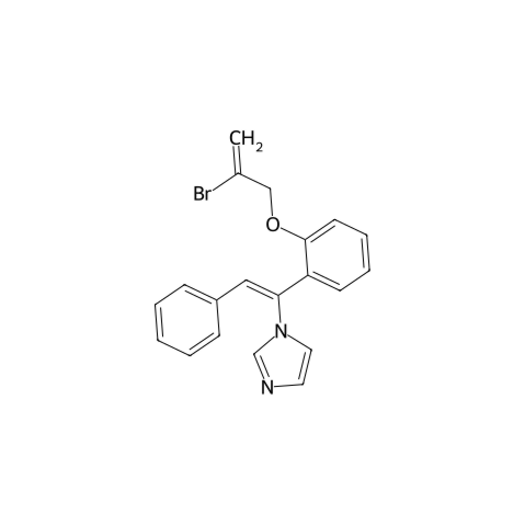 C=C(Br)COc1ccccc1C(=Cc1ccccc1)n1ccnc1